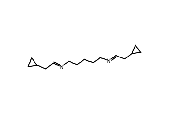 C(CC1CC1)=NCCCCCN=CCC1CC1